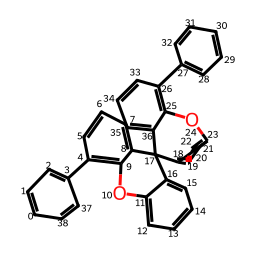 c1ccc(-c2cccc3c2Oc2ccccc2C32c3ccccc3Oc3c(-c4ccccc4)cccc32)cc1